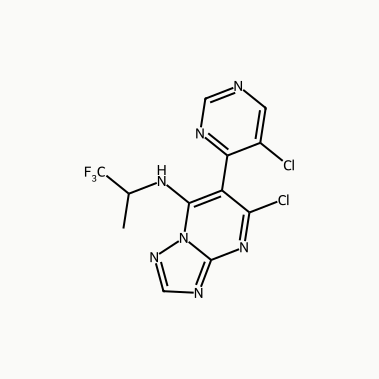 CC(Nc1c(-c2ncncc2Cl)c(Cl)nc2ncnn12)C(F)(F)F